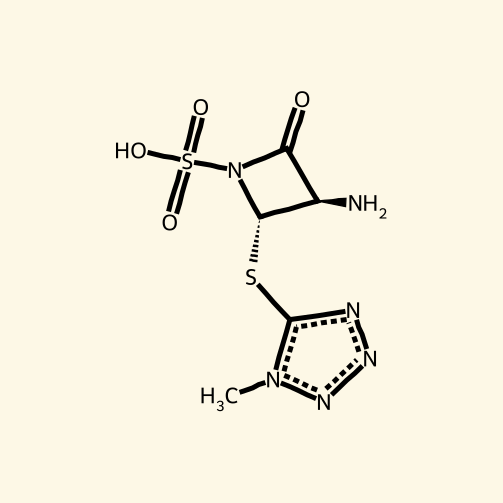 Cn1nnnc1S[C@H]1[C@H](N)C(=O)N1S(=O)(=O)O